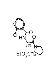 CCOC(=O)[C@@H]1CCCN1C(=O)[C@H](C)NC(=O)c1cccnc1Cl